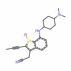 CC#Cc1c(CC#N)c2cccc(NC3CCC(N(C)C)CC3)c2[s+]1[O-]